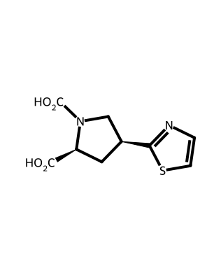 O=C(O)[C@@H]1C[C@H](c2nccs2)CN1C(=O)O